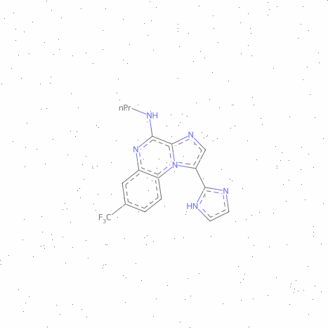 CCCNc1nc2cc(C(F)(F)F)ccc2n2c(-c3ncc[nH]3)cnc12